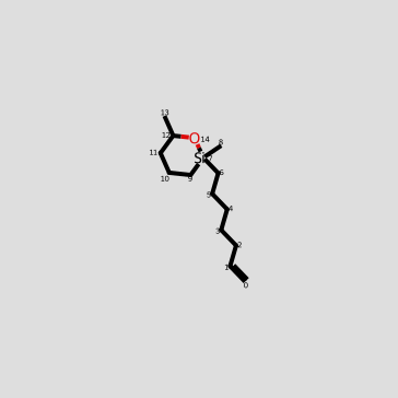 C=CCCCCC[Si]1(C)CCCC(C)O1